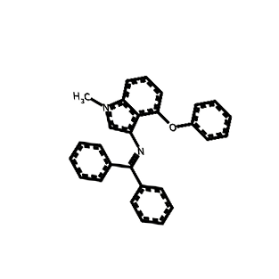 Cn1cc(N=C(c2ccccc2)c2ccccc2)c2c(Oc3ccccc3)cccc21